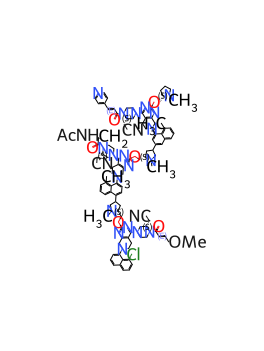 C=C(NC(C)=O)C(=O)N1CCN(c2nc(OC[C@@H]3CC(c4cc(N5CCc6c(nc(OC[C@@H]7CCCN7C)nc6N6CCN(C(=O)/C=C/c7ccncc7)[C@@H](CC#N)C6)C5)c5c(C)cccc5c4)CN3C)nc3c2CCN(c2ccc(C4C[C@@H](COc5nc6c(c(N7CCN(C(=O)/C=C/COC)[C@@H](CC#N)C7)n5)CCN(c5cccc7cccc(Cl)c57)C6)N(C)C4)c4cccc(C)c24)C3)C[C@@H]1CC#N